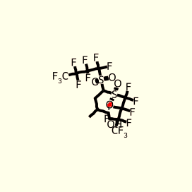 CC(CO)CC(S(=O)(=O)C(F)(F)C(F)(F)C(F)(F)C(F)(F)F)S(=O)(=O)C(F)(F)C(F)(F)C(F)(F)C(F)(F)F